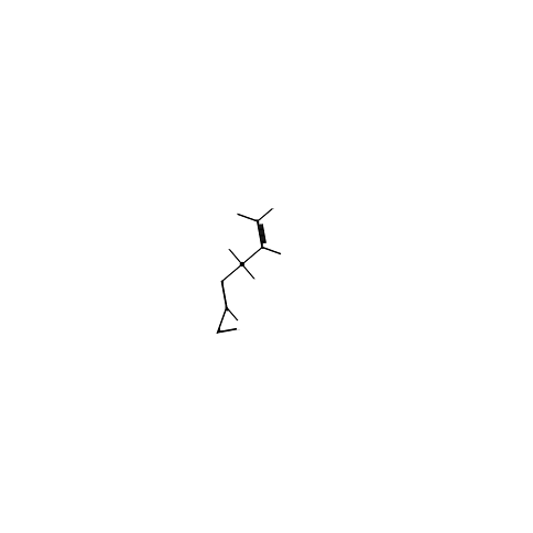 CCC(CC)=C(C(=O)O)C(CC)(CC)CC1CO1